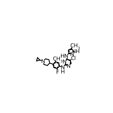 Cc1cc(Nc2nc(Nc3cc(C)c(C4CCN(C5CC5)CC4)cc3F)ncc2Cl)n[nH]1